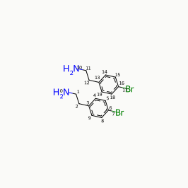 NCCc1ccc(Br)cc1.NCCc1ccc(Br)cc1